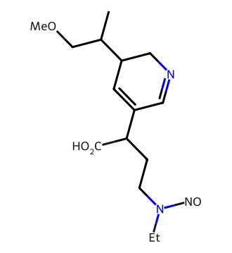 CCN(CCC(C(=O)O)C1=CC(C(C)COC)CN=C1)N=O